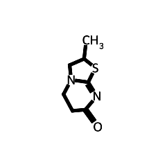 CC1CN2CCC(=O)N=C2S1